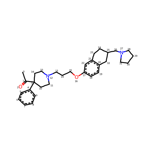 CC(=O)C1(c2ccccc2)CCN(CCCOc2ccc3c(c2)CCC(CN2CCCC2)C3)CC1